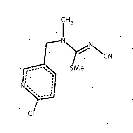 CS/C(=N\C#N)N(C)Cc1ccc(Cl)nc1